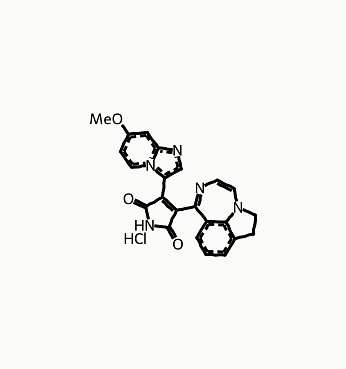 COc1ccn2c(C3=C(C4=NC=CN5CCc6cccc4c65)C(=O)NC3=O)cnc2c1.Cl